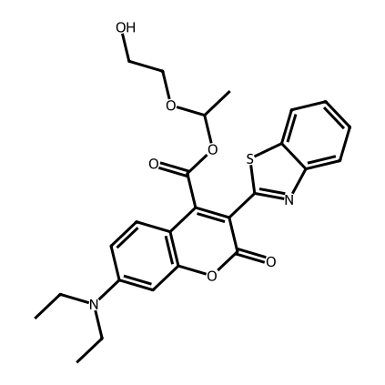 CCN(CC)c1ccc2c(C(=O)OC(C)OCCO)c(-c3nc4ccccc4s3)c(=O)oc2c1